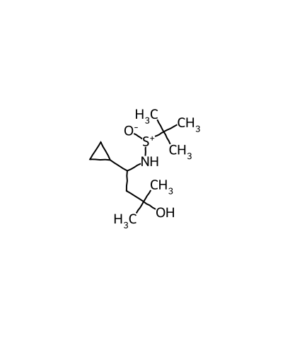 CC(C)(O)CC(N[S+]([O-])C(C)(C)C)C1CC1